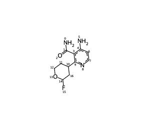 NC(=O)c1c(N)ccnc1C1CCOC(F)C1